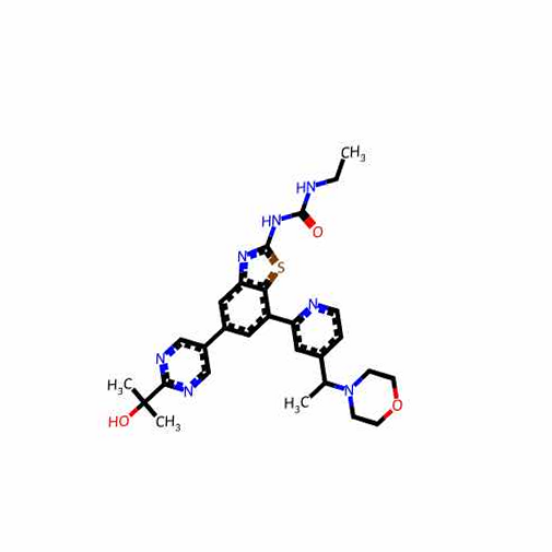 CCNC(=O)Nc1nc2cc(-c3cnc(C(C)(C)O)nc3)cc(-c3cc(C(C)N4CCOCC4)ccn3)c2s1